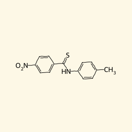 Cc1ccc(NC(=S)c2ccc([N+](=O)[O-])cc2)cc1